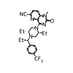 CC[C@H]1CN([C@H](CC)c2ccc(C(F)(F)F)cc2)[C@H](CC)CN1c1nc(=O)n(C)c2ccc(C#N)nc12